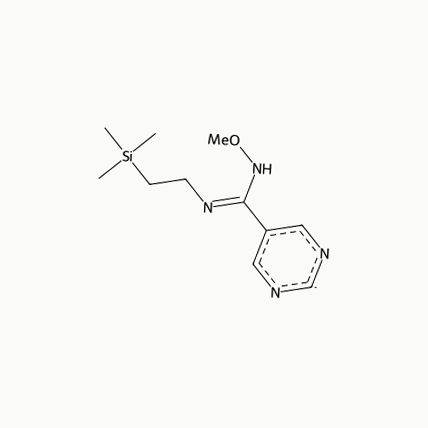 CONC(=NCC[Si](C)(C)C)c1cn[c]nc1